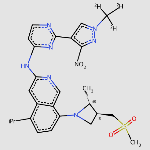 [2H]C([2H])([2H])n1cc(-c2nccc(Nc3cc4c(C(C)C)ccc(N5C[C@H](CS(C)(=O)=O)[C@H]5C)c4cn3)n2)c([N+](=O)[O-])n1